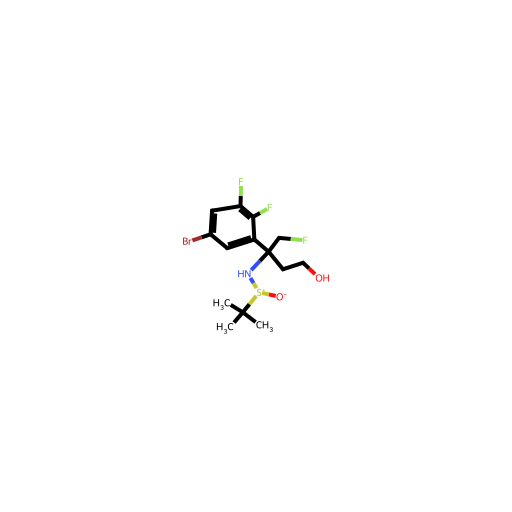 CC(C)(C)[S+]([O-])NC(CF)(CCO)c1cc(Br)cc(F)c1F